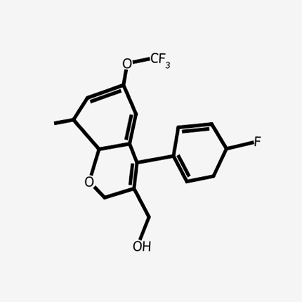 CC1C=C(OC(F)(F)F)C=C2C(C3=CCC(F)C=C3)=C(CO)COC21